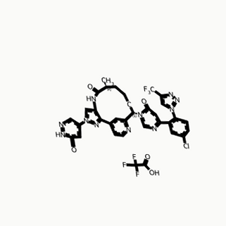 C[C@@H]1CCC[C@H](n2cnc(-c3cc(Cl)ccc3-n3cc(C(F)(F)F)nn3)cc2=O)c2cc(ccn2)-c2nn(-c3cn[nH]c(=O)c3)cc2NC1=O.O=C(O)C(F)(F)F